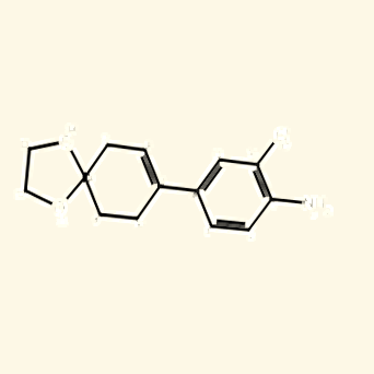 Nc1ccc(C2=CCC3(CC2)OCCO3)cc1Cl